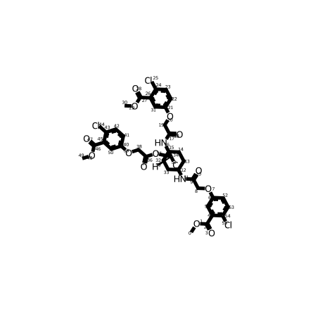 COC(=O)c1cc(OCC(=O)NC23CCC(NC(=O)COc4ccc(Cl)c(C(=O)OC)c4)(CC2)[C@@H](OC(=O)COc2ccc(Cl)c(C(=O)OC)c2)C3)ccc1Cl